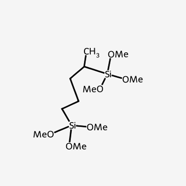 CO[Si](CCCC(C)[Si](OC)(OC)OC)(OC)OC